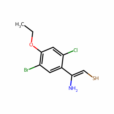 CCOc1cc(Cl)c(/C(N)=C/S)cc1Br